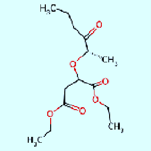 CCCC(=O)[C@H](C)OC(CC(=O)OCC)C(=O)OCC